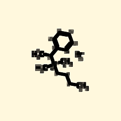 CCCC[N+](C)(C)[C@@H](C)c1ccccc1.[Br-]